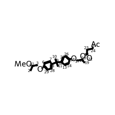 COC(C)COc1ccc(C(C)(C)c2ccc(OCC(C)OC(=O)CCC(C)=O)cc2)cc1